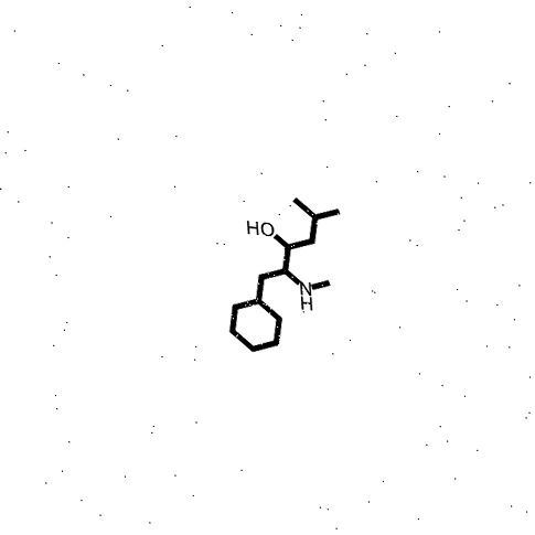 CNC(CC1CCCCC1)C(O)CC(C)C